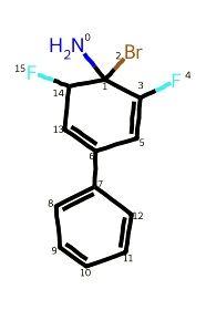 NC1(Br)C(F)=CC(c2ccccc2)=CC1F